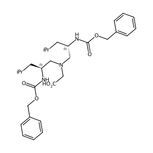 CC(C)C[C@@H](CN(CC(=O)O)C[C@H](CC(C)C)NC(=O)OCc1ccccc1)NC(=O)OCc1ccccc1